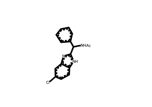 CC(=O)NC(c1ccccc1)c1nc2cc(Cl)ccc2[nH]1